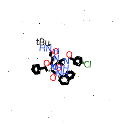 CC(C)(C)CNC(=O)C[C@H](NC1(CNC(=O)c2ccc(Cl)cc2)COC1)C(=O)N[C@@H](CCc1ccccc1)C(=O)N[C@@H]1CCCc2ccccc21